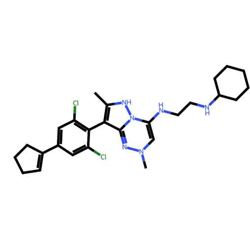 CC1=C(c2c(Cl)cc(C3=CCCC3)cc2Cl)C2=NN(C)C=C(NCCNC3CCCCC3)N2N1